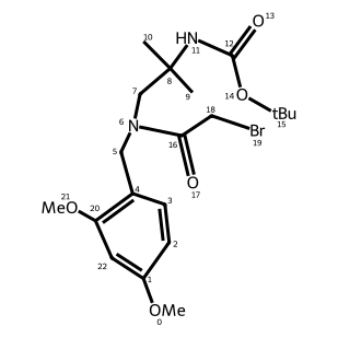 COc1ccc(CN(CC(C)(C)NC(=O)OC(C)(C)C)C(=O)CBr)c(OC)c1